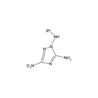 CC(C)Nn1nc([N+](=O)[O-])nc1N